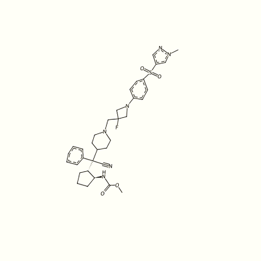 COC(=O)N[C@H]1CCC[C@@H]1C(C#N)(c1ccccc1)C1CCN(CC2(F)CN(c3ccc(S(=O)(=O)c4cnn(C)c4)cc3)C2)CC1